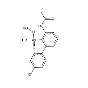 CC(=O)Nc1cc(C)cc(-c2ccc(Cl)cc2)c1[As](=O)(O)OO